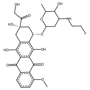 COc1cccc2c1C(=O)c1c(O)c3c(c(O)c1C2=O)C[C@@](O)(C(=O)CO)C[C@@H]3OC1CC(NCCF)C(O)C(C)O1